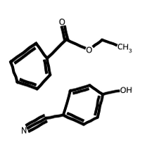 CCOC(=O)c1ccccc1.N#Cc1ccc(O)cc1